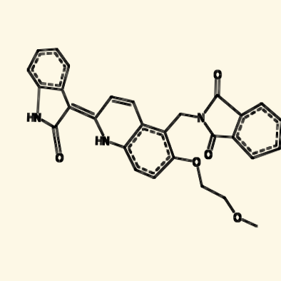 COCCOc1ccc2c(c1CN1C(=O)c3ccccc3C1=O)C=CC(=C1C(=O)Nc3ccccc31)N2